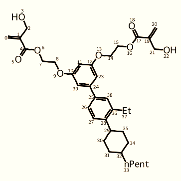 C=C(CO)C(=O)OCCOc1cc(OCCOC(=O)C(=C)CO)cc(-c2ccc(C3CCC(CCCCC)CC3)c(CC)c2)c1